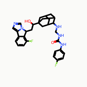 O=C(NCNC1C2CC3CC1CC(C(O)CC1c4c(F)cccc4-c4cncn41)(C3)C2)Nc1ccc(F)cc1